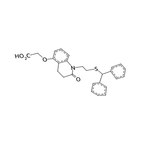 O=C(O)COc1cccc2c1CCC(=O)N2CCSC(c1ccccc1)c1ccccc1